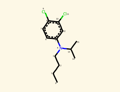 CCCCN(c1ccc(Cl)c(Cl)c1)C(C)C